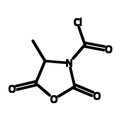 CC1C(=O)OC(=O)N1C(=O)Cl